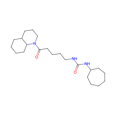 O=C(NCCCCC(=O)N1CCCC2CCCCC21)NC1CCCCCC1